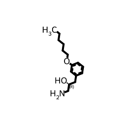 CCCCCCOc1cccc(C[C@@H](O)CN)c1